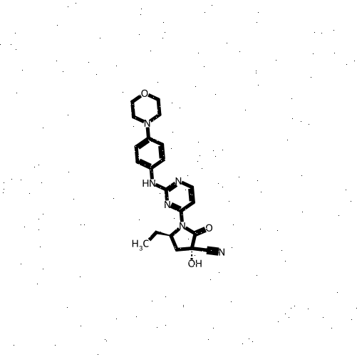 CC[C@@H]1C[C@](O)(C#N)C(=O)N1c1ccnc(Nc2ccc(N3CCOCC3)cc2)n1